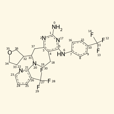 Nc1nc2c(c(Nc3ccc(C(F)(F)F)cc3)n1)CCN(c1ncccc1C(F)(F)F)C(C1CCOC1)C2